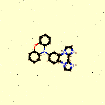 c1ccc2c(c1)Oc1ccccc1N2c1ccc2c(c1)n1ccnc1c1nccn21